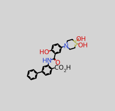 O=C(Nc1cc(-c2ccccc2)ccc1C(=O)O)c1cc(N2CCS(O)(O)CC2)ccc1O